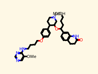 COCCCC(OC1CN(C(=O)O)CCC1c1ccc(OCCCCNc2ncncc2OC)cc1)c1ccc2c(c1)NC(=O)CC2